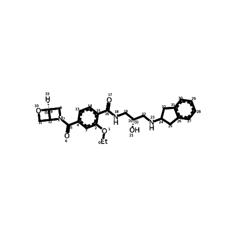 CCOc1cc(C(=O)N2C[C@@H]3OCC32)ccc1C(=O)NC[C@@H](O)CNC1Cc2ccccc2C1